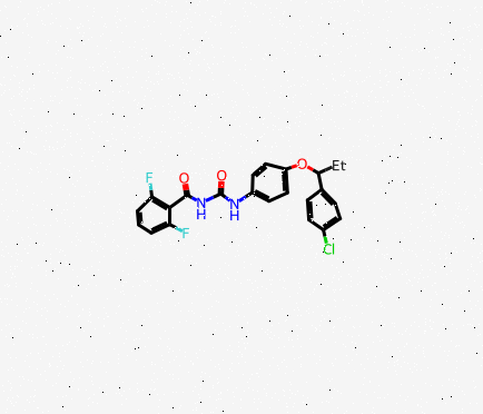 CCC(Oc1ccc(NC(=O)NC(=O)c2c(F)cccc2F)cc1)c1ccc(Cl)cc1